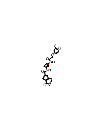 Cn1cnc2cc(C(=O)NC34CC(C3)C(NC(=O)COc3ccc(Cl)c(F)c3)C4)ccc2c1=O